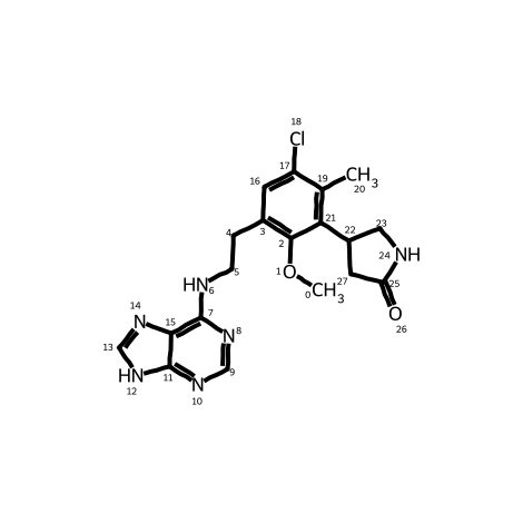 COc1c(CCNc2ncnc3[nH]cnc23)cc(Cl)c(C)c1C1CNC(=O)C1